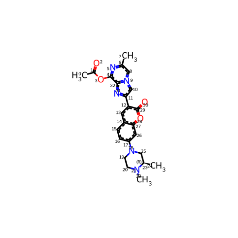 CC(=O)Oc1nc(C)cn2cc(-c3cc4ccc(N5CCN(C)[C@H](C)C5)cc4oc3=O)nc12